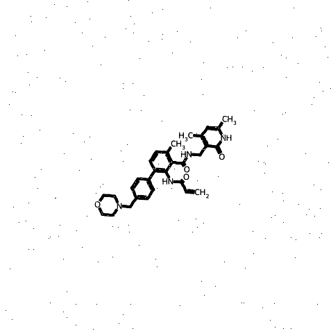 C=CC(=O)Nc1c(-c2ccc(CN3CCOCC3)cc2)ccc(C)c1C(=O)NCc1c(C)cc(C)[nH]c1=O